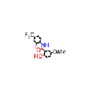 COc1ccc(O)c(C(=O)Nc2ccc(C(F)(F)F)cc2I)c1